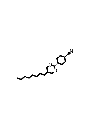 CCCCCCCCC1COC([C@H]2CC[C@H](C#N)CC2)OC1